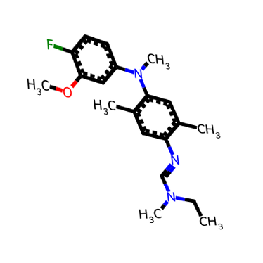 CCN(C)C=Nc1cc(C)c(N(C)c2ccc(F)c(OC)c2)cc1C